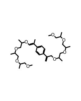 C=C(COC(C)COC(C)COC(C)COC)c1ccc(C(C)=COC(C)COC(C)COC(C)COC)cc1